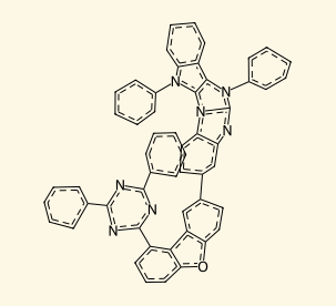 c1ccc(-c2nc(-c3ccccc3)nc(-c3cccc4oc5ccc(-c6ccc7c(c6)nc6n(-c8ccccc8)c8c9ccccc9n(-c9ccccc9)c8n76)cc5c34)n2)cc1